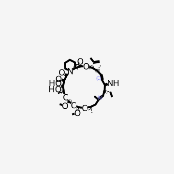 C=C(C)[C@H]1OC(=O)[C@@H]2CCCCN2C(=O)C(=O)C(O)(O)[C@H](C)C[C@H](OC)C[C@@H](OC)C[C@@H](C)C/C(C)=C/[C@@H](CC)C(=N)/C=C/[C@H]1C